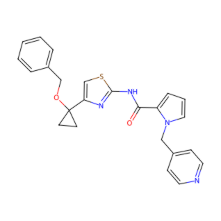 O=C(Nc1nc(C2(OCc3ccccc3)CC2)cs1)c1cccn1Cc1ccncc1